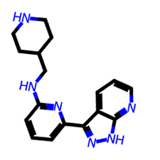 c1cc(NCC2CCNCC2)nc(-c2n[nH]c3ncccc23)c1